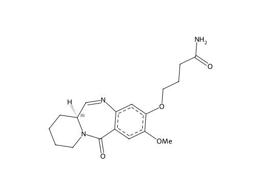 COc1cc2c(cc1OCCCC(N)=O)N=C[C@@H]1CCCCN1C2=O